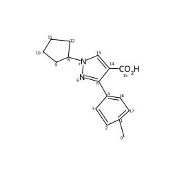 Cc1ccc(-c2nn(C3CCCC3)cc2C(=O)O)cc1